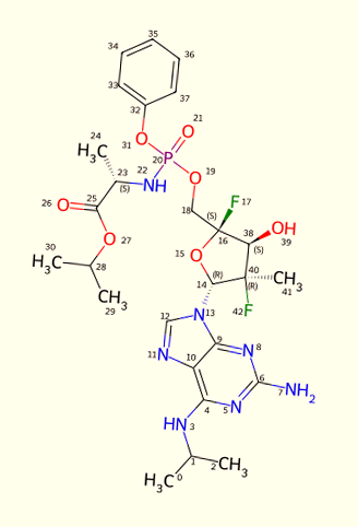 CC(C)Nc1nc(N)nc2c1ncn2[C@@H]1O[C@](F)(COP(=O)(N[C@@H](C)C(=O)OC(C)C)Oc2ccccc2)[C@@H](O)[C@@]1(C)F